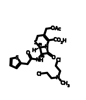 CC(=O)OCC1=C(C(=O)O)N2C(=O)[C@@H](NC(=O)Cc3cccs3)[C@H]2SC1.CN(CCCl)CCCl